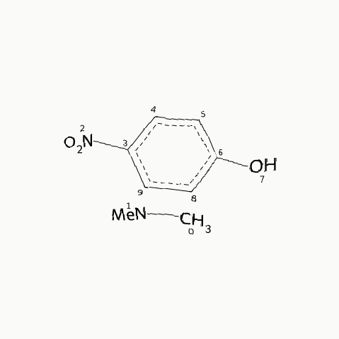 CNC.O=[N+]([O-])c1ccc(O)cc1